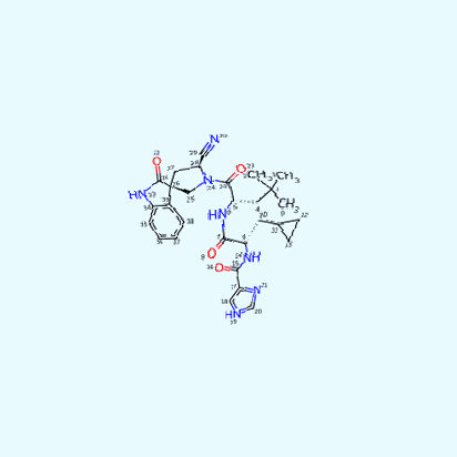 CC(C)(C)C[C@H](NC(=O)[C@H](CC1CC1)NC(=O)c1c[nH]cn1)C(=O)N1C[C@]2(C[C@H]1C#N)C(=O)Nc1ccccc12